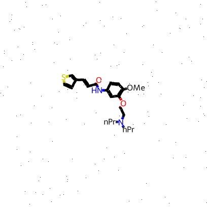 CCCN(CCC)CCOc1cc(NC(=O)C=Cc2ccsc2)ccc1OC